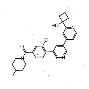 CC1CCN(C(=O)c2ccc(-c3cncc(-c4ccnc(C5(O)CCC5)c4)c3)c(Cl)c2)CC1